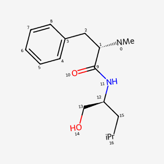 CN[C@@H](Cc1ccccc1)C(=O)N[C@H](CO)CC(C)C